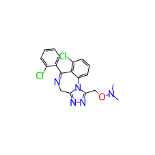 CN(C)OCc1nnc2n1-c1cccc(Cl)c1C(c1ccccc1Cl)=NC2